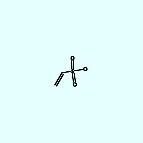 C=CS([O])(=O)=O